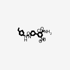 CCc1ccc(Nc2nc3cc(-c4cc([N+](=O)[O-])cc(C(N)=O)c4Cl)ccc3o2)cc1